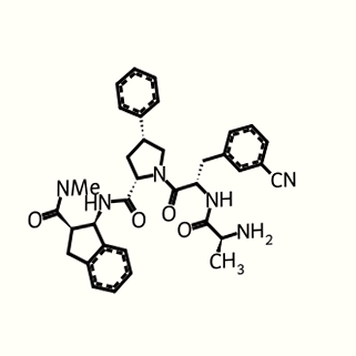 CNC(=O)[C@@H]1Cc2ccccc2[C@@H]1NC(=O)[C@@H]1C[C@H](c2ccccc2)CN1C(=O)[C@H](Cc1cccc(C#N)c1)NC(=O)[C@H](C)N